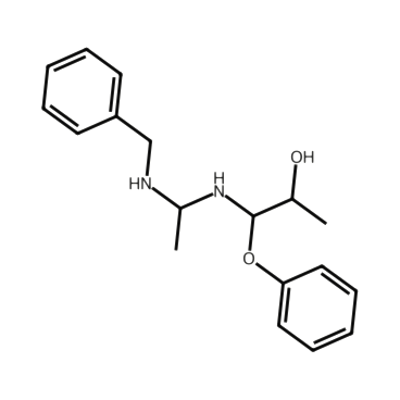 CC(NCc1ccccc1)NC(Oc1ccccc1)C(C)O